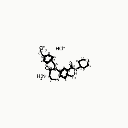 Cl.N[C@H]1CSc2cc(F)c(C(=O)NC3CCOCC3)cc2N(Cc2ccc(OC(F)(F)F)cc2)C1=O